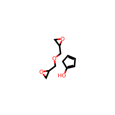 C(OCC1CO1)C1CO1.OC1=CC=CC1